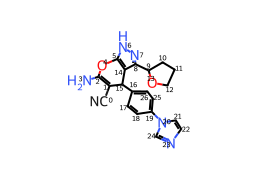 N#CC1=C(N)Oc2[nH]nc(C3CCCO3)c2C1c1ccc(-n2ccnc2)cc1